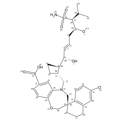 CO[C@@H](C/C=C/[C@H](O)[C@@H]1CC[C@H]1CN1C[C@@]2(CCCc3cc(Cl)ccc32)COc2ccc(C(=O)O)cc21)[C@H](C(C)C)S(N)(=O)=O